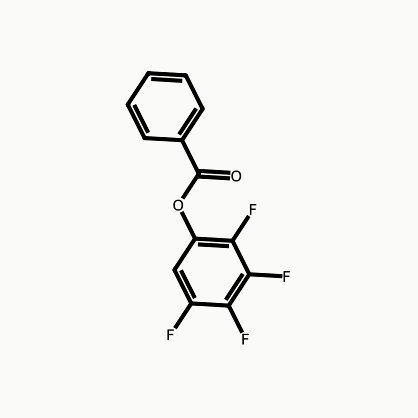 O=C(Oc1cc(F)c(F)c(F)c1F)c1ccccc1